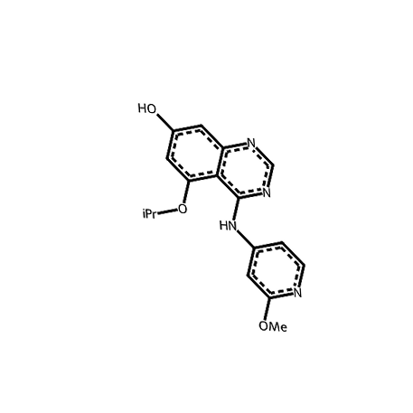 COc1cc(Nc2ncnc3cc(O)cc(OC(C)C)c23)ccn1